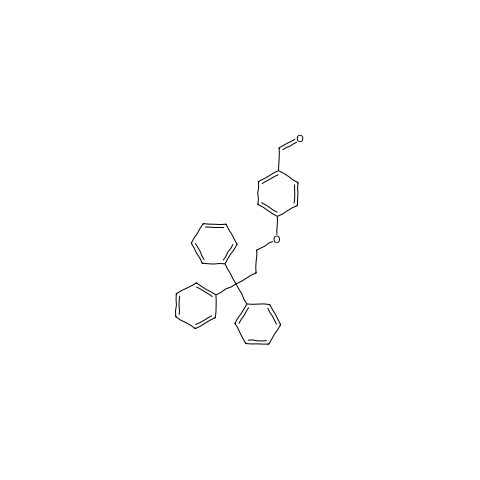 O=Cc1ccc(OCCC(c2ccccc2)(c2ccccc2)c2ccccc2)cc1